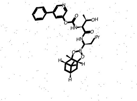 CC(C)C[C@H](NC(=O)[C@@H](NC(=O)Oc1cncc(-c2ccccc2)c1)[C@@H](C)O)B1O[C@@H]2C[C@@H]3C[C@@H](C3(C)C)[C@]2(C)O1